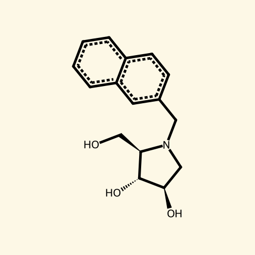 OC[C@@H]1[C@@H](O)[C@H](O)CN1Cc1ccc2ccccc2c1